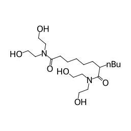 CCCCC(CCCCCC(=O)N(CCO)CCO)C(=O)N(CCO)CCO